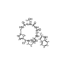 CCC1c2nnc(o2)CNC(=O)[C@H](CO)NC(=O)NC(=O)[C@H](Cc2cc3ccccc3[nH]2)NC(=O)[C@@H]2CCCN12